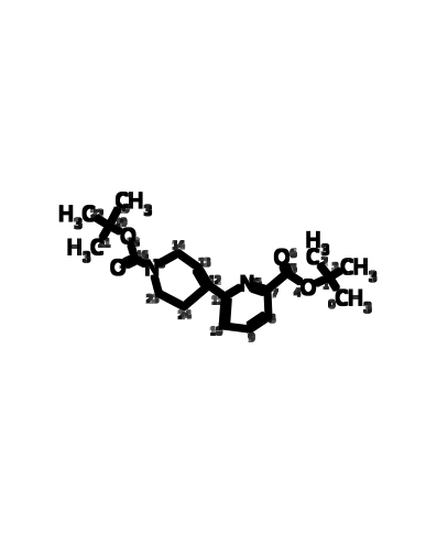 CC(C)(C)OC(=O)c1cccc(C2=CCN(C(=O)OC(C)(C)C)CC2)n1